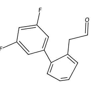 O=CCc1ccccc1-c1cc(F)cc(F)c1